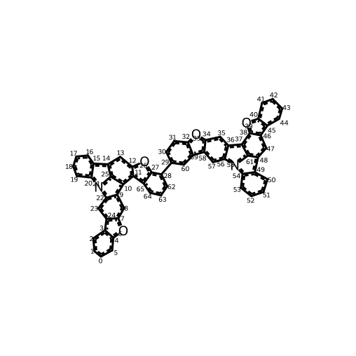 c1ccc2c(c1)oc1cc3c4c5c(cc6c7ccccc7n(c3cc12)c64)oc1c(-c2ccc3oc4cc6c7c8oc9ccccc9c8cc8c9ccccc9n(c6cc4c3c2)c87)cccc15